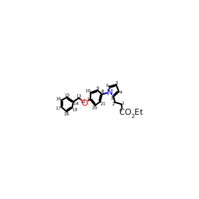 CCOC(=O)CCc1cccn1-c1ccc(OCc2ccccc2)cc1